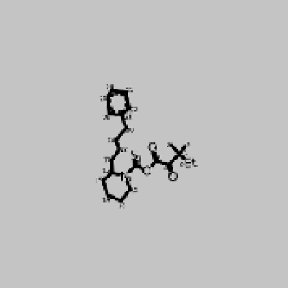 CCC(C)(C)C(=O)C(=O)OC(=S)N1CCCCC1CCCCc1ccccc1